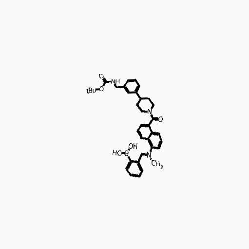 CN(Cc1ccccc1B(O)O)c1cccc2c(C(=O)N3CCC(c4cccc(CNC(=O)OC(C)(C)C)c4)CC3)cccc12